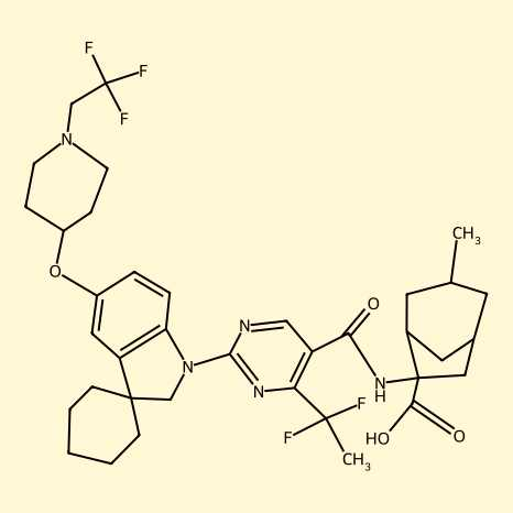 CC1CC2CC(C1)C(NC(=O)c1cnc(N3CC4(CCCCC4)c4cc(OC5CCN(CC(F)(F)F)CC5)ccc43)nc1C(C)(F)F)(C(=O)O)C2